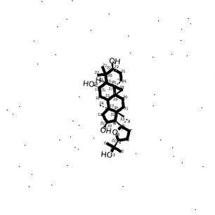 CC(C)(O)[C@@H]1CC[C@](C)([C@H]2[C@@H](O)C[C@@]3(C)C4C[C@H](O)[C@H]5C(C)(C)[C@@H](O)CC[C@@]56C[C@@]46CC[C@]23C)O1